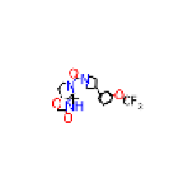 O=C1COC2CCN(C(=O)N3CCC(c4cccc(OC(F)(F)F)c4)C3)C[C@H]2N1